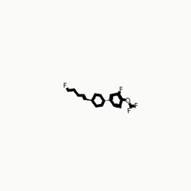 FCCCC=C[C@H]1CC[C@H](c2ccc(OC(F)F)c(F)c2)CC1